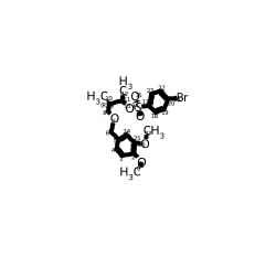 COc1ccc(COC[C@@H](C)C(C)OS(=O)(=O)c2ccc(Br)cc2)cc1OC